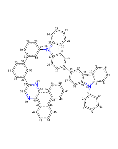 c1ccc(-n2c3ccccc3c3cc(-c4ccc5c(c4)c4ccccc4n5-c4cccc(-c5cccc(-c6cnc7c8ccccc8c8ccccc8c7n6)c5)c4)ccc32)cc1